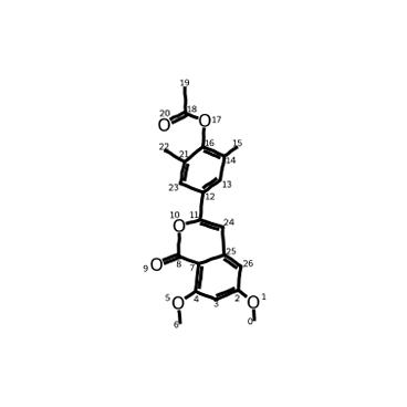 COc1cc(OC)c2c(=O)oc(-c3cc(C)c(OC(C)=O)c(C)c3)cc2c1